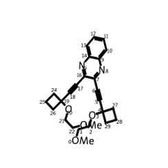 COCCOC1(C#Cc2nc3ccccc3nc2C#CC2(OCCOC)CCC2)CCC1